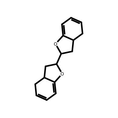 C1=CCC2CC(C3CC4CC=CC=C4O3)OC2=C1